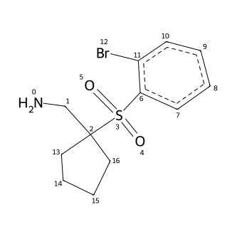 NCC1(S(=O)(=O)c2ccccc2Br)CCCC1